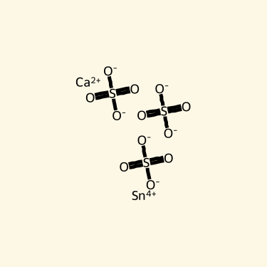 O=S(=O)([O-])[O-].O=S(=O)([O-])[O-].O=S(=O)([O-])[O-].[Ca+2].[Sn+4]